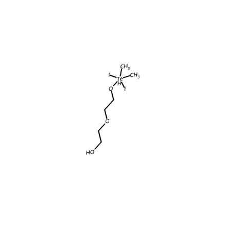 C[TeH](C)(I)(I)OCCOCCO